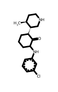 C[C@H]1CCNC[C@@H]1C1CCCC(Nc2cccc(Cl)c2)C1=O